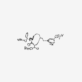 COC(=O)C1CC(CCc2cc(C(=O)O)cs2)CCN(C(=O)OC(C)(C)C)C1=O